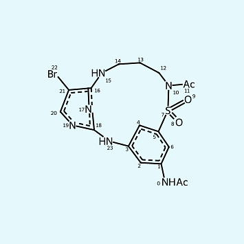 CC(=O)Nc1cc2cc(c1)S(=O)(=O)N(C(C)=O)CCCNc1nc(ncc1Br)N2